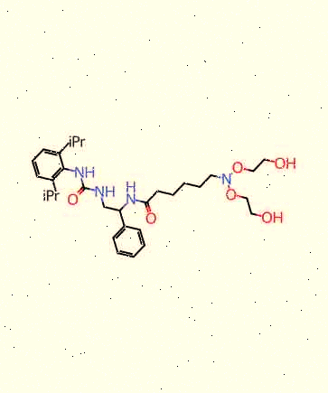 CC(C)c1cccc(C(C)C)c1NC(=O)NCC(NC(=O)CCCCCN(OCCO)OCCO)c1ccccc1